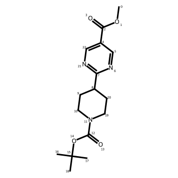 COC(=O)c1cnc(C2CCN(C(=O)OC(C)(C)C)CC2)nc1